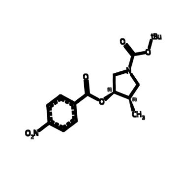 C[C@@H]1CN(C(=O)OC(C)(C)C)C[C@@H]1OC(=O)c1ccc([N+](=O)[O-])cc1